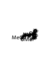 COP(OC)OC(C)n1cc(-c2nc(C(=O)Nc3cn(C4CCCCC4)nc3-c3nc(F)ccc3F)cs2)cn1